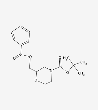 CC(C)(C)OC(=O)N1CCOC(COC(=O)c2ccccc2)C1